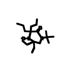 CCCC1(CCC)C(=O)N(C(C)(C)C)CC(CC)(CC)N1[O]